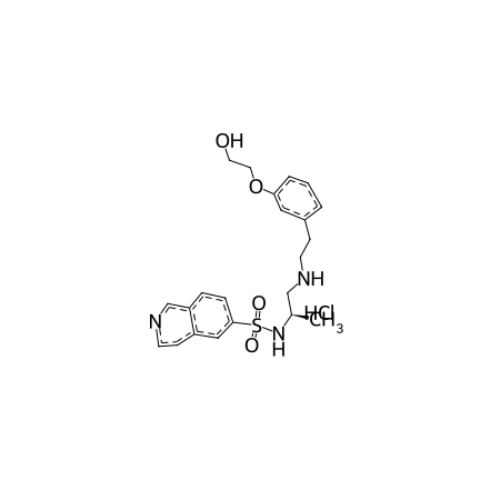 C[C@H](CNCCc1cccc(OCCO)c1)NS(=O)(=O)c1ccc2cnccc2c1.Cl